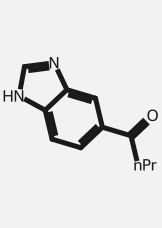 CCCC(=O)c1ccc2[nH]cnc2c1